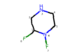 FC1CNCCN1F